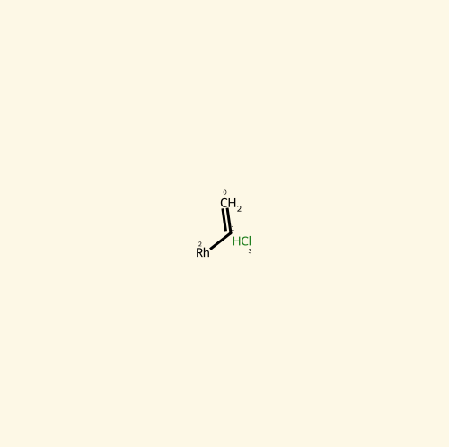 C=[CH][Rh].Cl